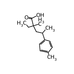 CCC(C)(CC(C)c1ccc(C)cc1)C(=O)O